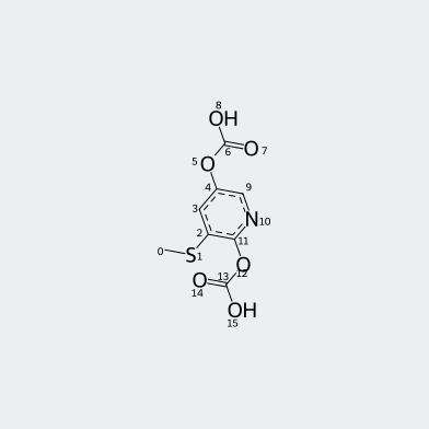 CSc1cc(OC(=O)O)cnc1OC(=O)O